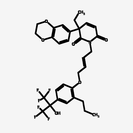 CCCc1cc(C(O)(C(F)(F)F)C(F)(F)F)ccc1OC/C=C/CN1C(=O)C=CC(CC)(c2ccc3c(c2)OCCO3)C1=O